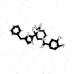 O=C(c1ccc(Br)c(Cl)c1)N1CCS(=O)(=O)C(F)(c2ncc(Cc3ccccc3)s2)C1